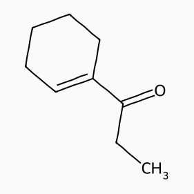 CCC(=O)C1=CCCCC1